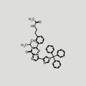 CC(=O)NCCc1cccc(-c2nn3c(-c4cn(C(c5ccccc5)(c5ccccc5)c5ccccc5)cn4)cnc3c(=O)n2C(C)C)c1